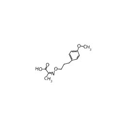 COc1ccc(CCCON=C(C)C(=O)O)cc1